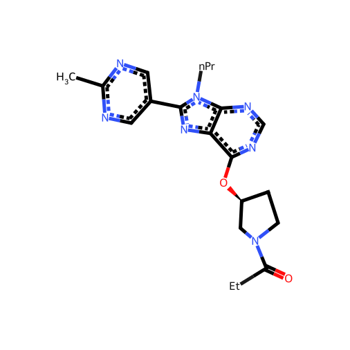 CCCn1c(-c2cnc(C)nc2)nc2c(O[C@H]3CCN(C(=O)CC)C3)ncnc21